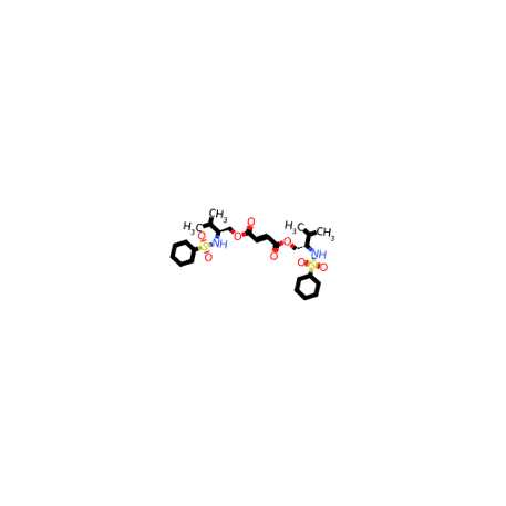 CC(C)[C@@H](COC(=O)/C=C/C(=O)OC[C@@H](NS(=O)(=O)C1CCCCC1)C(C)C)NS(=O)(=O)C1CCCCC1